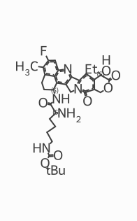 CC[C@@]1(O)C(=O)OCc2c1cc1n(c2=O)Cc2c-1nc1cc(F)c(C)c3c1c2[C@@H](NC(=O)[C@@H](N)CCCCNC(=O)OC(C)(C)C)CC3